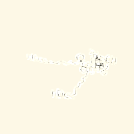 [2H]NCC(C#N)OP(=O)(O)OC[C@@H](COC(=O)CCCCCCCCCCCCCCCCC)OC(=O)CCCCCCCCCCCCCCCCC